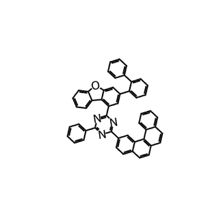 c1ccc(-c2nc(-c3ccc4ccc5ccc6ccccc6c5c4c3)nc(-c3cc(-c4ccccc4-c4ccccc4)cc4oc5ccccc5c34)n2)cc1